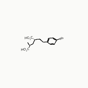 CCCc1ccc(CC[C@H](CC(C)C(=O)O)C(=O)O)cc1